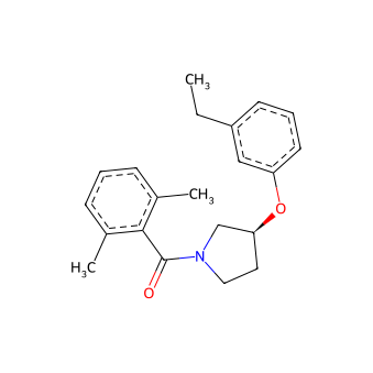 CCc1cccc(O[C@H]2CCN(C(=O)c3c(C)cccc3C)C2)c1